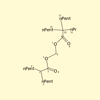 CCCCCC(CCCCC)C(=O)OCOC(=O)C(CCC)(CCCCC)CCCCC